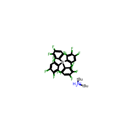 CC(C)(C)[NH2+]C(C)(C)C.Fc1cc(F)c([B-](c2c(F)cc(F)c(F)c2F)(c2c(F)cc(F)c(F)c2F)c2c(F)cc(F)c(F)c2F)c(F)c1F